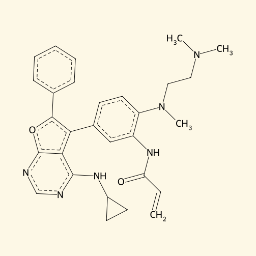 C=CC(=O)Nc1cc(-c2c(-c3ccccc3)oc3ncnc(NC4CC4)c23)ccc1N(C)CCN(C)C